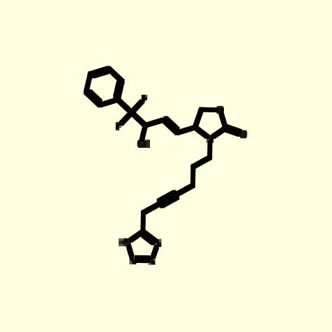 O=C1OCC(C=CC(O)C(F)(F)c2ccccc2)N1CCCC#CCc1nnn[nH]1